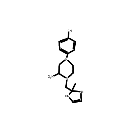 CC1(CN2CCN(c3ccc(C#N)cc3)CC2[N+](=O)[O-])NC=CN1